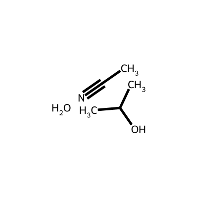 CC#N.CC(C)O.O